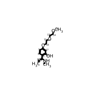 C/N=C(\NC)c1ccc(OCCOCCOC)cc1O